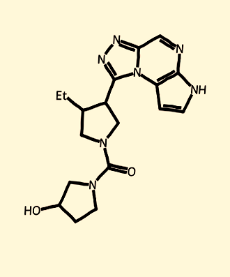 CCC1CN(C(=O)N2CCC(O)C2)CC1c1nnc2cnc3[nH]ccc3n12